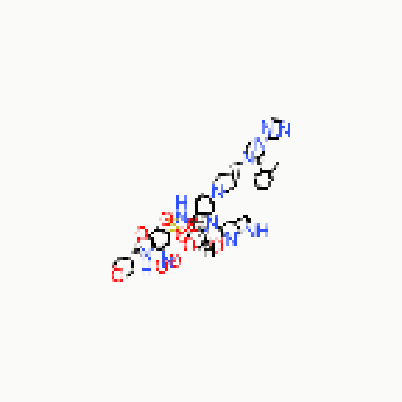 Cc1ccccc1[C@@H]1CN(c2cnccn2)CCN1C1CC2(CCN(c3ccc(C(=O)NS(=O)(=O)c4cc5c(c([N+](=O)[O-])c4)N[C@H](C4CCOCC4)CO5)c(N4c5cc6cc[nH]c6nc5O[C@H]5COCC[C@@H]54)c3)CC2)C1